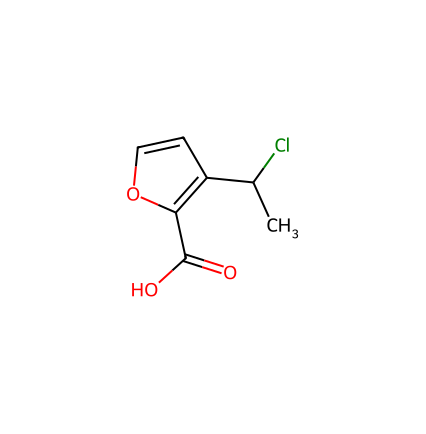 CC(Cl)c1ccoc1C(=O)O